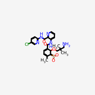 CC1=CC=C(C(=O)Nc2cccnc2C(=O)Nc2ccc(Cl)cn2)C(OCC(C)(C)CN)C1=S(=O)=O